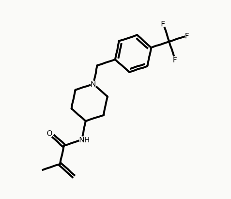 C=C(C)C(=O)NC1CCN(Cc2ccc(C(F)(F)F)cc2)CC1